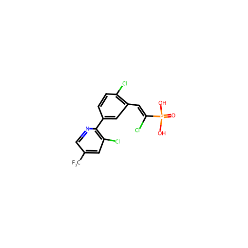 O=P(O)(O)C(Cl)=Cc1cc(-c2ncc(C(F)(F)F)cc2Cl)ccc1Cl